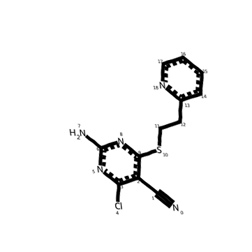 N#Cc1c(Cl)nc(N)nc1SCCc1ccccn1